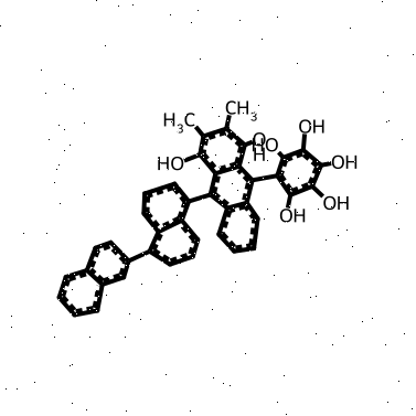 Cc1c(C)c(O)c2c(-c3cccc4c(-c5ccc6ccccc6c5)cccc34)c3ccccc3c(-c3c(O)c(O)c(O)c(O)c3O)c2c1O